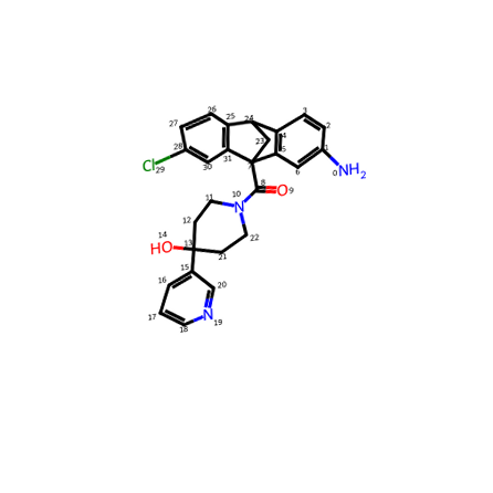 Nc1ccc2c(c1)C1(C(=O)N3CCC(O)(c4cccnc4)CC3)CC2c2ccc(Cl)cc21